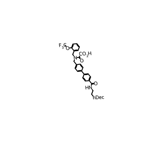 CCCCCCCCCCCCNC(=O)c1ccc(-c2ccc(CN(Cc3ccccc3OC(F)(F)F)C(=O)C(=O)O)cc2)cc1